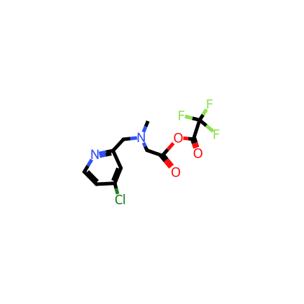 CN(CC(=O)OC(=O)C(F)(F)F)Cc1cc(Cl)ccn1